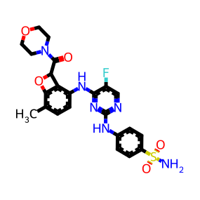 Cc1ccc(Nc2nc(Nc3ccc(S(N)(=O)=O)cc3)ncc2F)c2c1OC2C(=O)N1CCOCC1